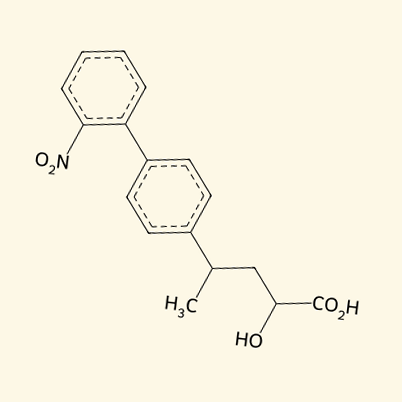 CC(CC(O)C(=O)O)c1ccc(-c2ccccc2[N+](=O)[O-])cc1